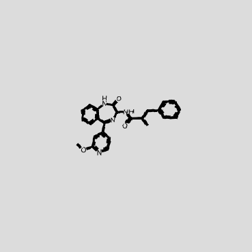 COc1cc(C2=NC(NC(=O)C(C)Cc3ccccc3)C(=O)Nc3ccccc32)ccn1